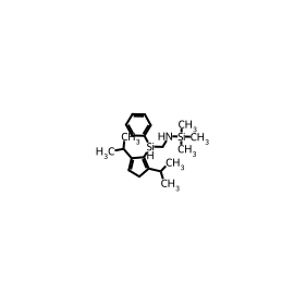 CC(C)C1=CCC(C(C)C)=C1[SiH](CN[Si](C)(C)C)c1ccccc1